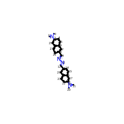 CN(C)c1ccc2cc(/C=N/N=C/c3ccc4cc(N(C)C)ccc4c3)ccc2c1